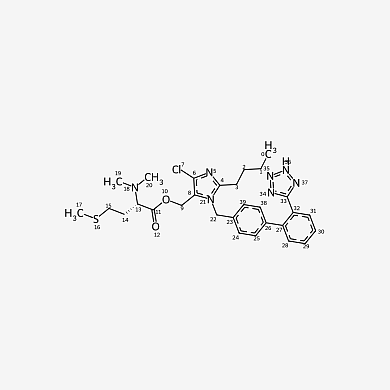 CCCCc1nc(Cl)c(COC(=O)[C@H](CCSC)N(C)C)n1Cc1ccc(-c2ccccc2-c2nn[nH]n2)cc1